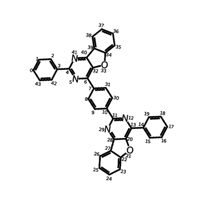 c1ccc(-c2nc(-c3ccc(-c4nc(-c5ccccc5)c5oc6ccccc6c5n4)cc3)c3oc4ccccc4c3n2)cc1